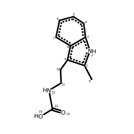 Cc1[nH]c2ccccc2c1CCNC(=O)O